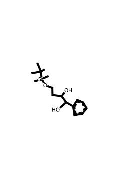 CC(C)(C)[Si](C)(C)OCCC(O)C(O)c1ccccc1